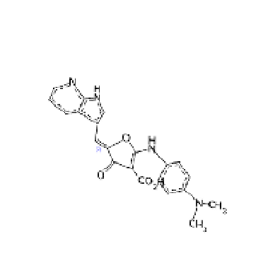 CN(C)c1ccc(NC2=C(C(=O)O)C(=O)/C(=C/c3c[nH]c4ncccc34)O2)cc1